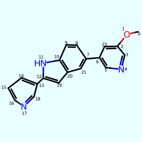 COc1cncc(-c2ccc3[nH]c(-c4cccnc4)cc3c2)c1